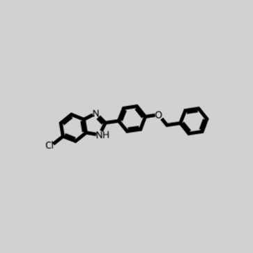 Clc1ccc2nc(-c3ccc(OCc4ccccc4)cc3)[nH]c2c1